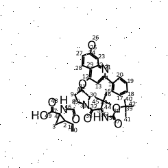 C=CC1CC1(NC(=O)[C@@H]1C[C@@H](Oc2cc(-c3ccccc3)nc3cc(OC)ccc23)CN1C(=O)C(NC(=O)OC(C)(C)C)C(C)(C)C)C(=O)O